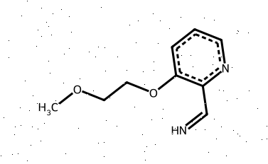 COCCOc1cccnc1C=N